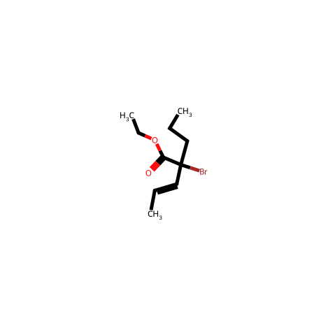 CC=CC(Br)(CCC)C(=O)OCC